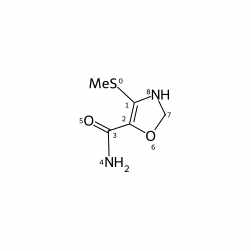 CSC1=C(C(N)=O)OCN1